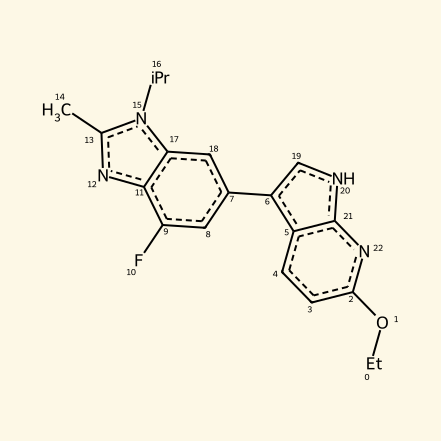 CCOc1ccc2c(-c3cc(F)c4nc(C)n(C(C)C)c4c3)c[nH]c2n1